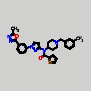 Cc1nnc(-c2cccc(-n3ccc(N(C(=O)c4cccs4)C4CCN(Cc5cccc(C(F)(F)F)c5)CC4)n3)c2)o1